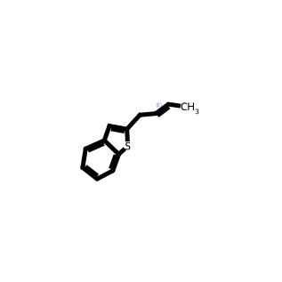 C/C=C/[CH]c1cc2ccccc2s1